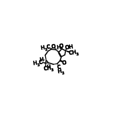 C[C@@H]1C[C@@H]2[C@H](CCC3(C)O[C@H]3C3=C(C[C@@](C)(O)C3=O)C1=O)C2(C)C